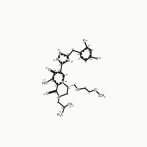 COCCOC[C@@H]1CN(CC(C)C)C(=O)c2c(O)c(=O)c(-c3nnc(Cc4ccc(F)cc4F)s3)cn21